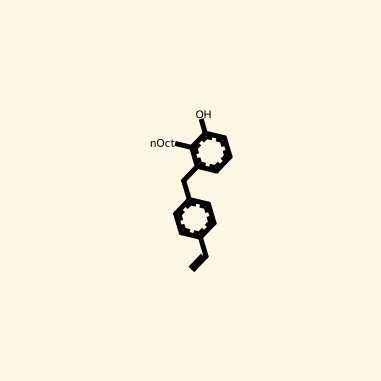 C=Cc1ccc(Cc2cccc(O)c2CCCCCCCC)cc1